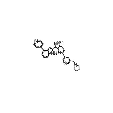 c1cc(-c2ccncc2)c2cc(-c3n[nH]c4ccc(-c5cncc(CN6CCCC6)c5)nc34)[nH]c2c1